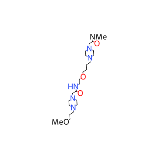 CNC(=O)CN1CCN(CCCCOCCNC(=O)CN2CCN(CCCOC)CC2)CC1